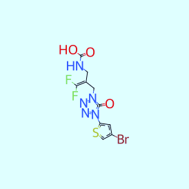 O=C(O)NCC(Cn1nnn(-c2cc(Br)cs2)c1=O)=C(F)F